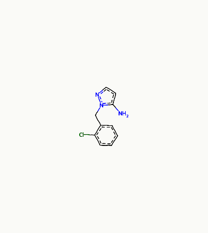 Nc1ccnn1Cc1ccccc1Cl